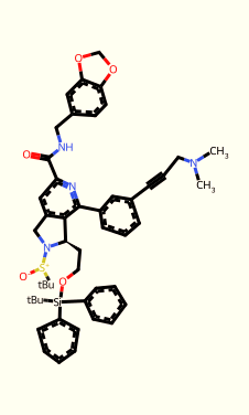 CN(C)CC#Cc1cccc(-c2nc(C(=O)NCc3ccc4c(c3)OCO4)cc3c2[C@@H](CCO[Si](c2ccccc2)(c2ccccc2)C(C)(C)C)N([S+]([O-])C(C)(C)C)C3)c1